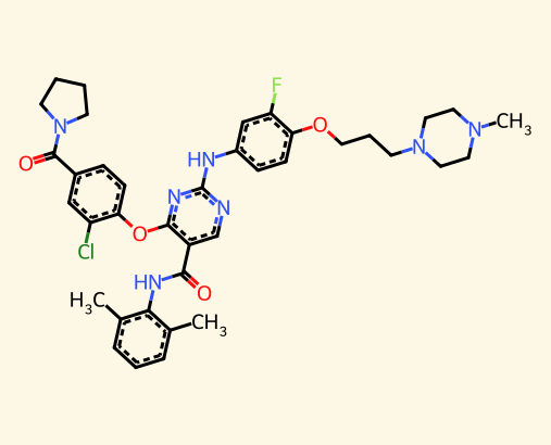 Cc1cccc(C)c1NC(=O)c1cnc(Nc2ccc(OCCCN3CCN(C)CC3)c(F)c2)nc1Oc1ccc(C(=O)N2CCCC2)cc1Cl